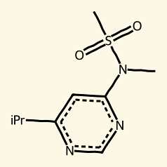 CC(C)c1cc(N(C)S(C)(=O)=O)ncn1